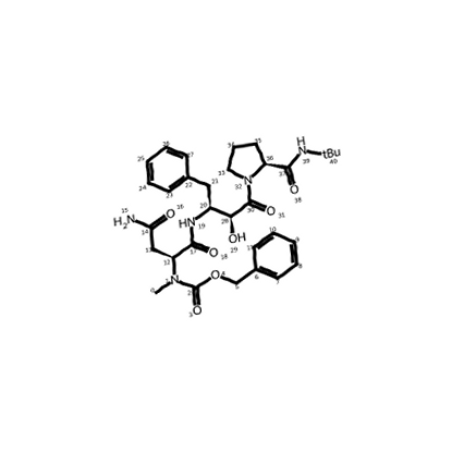 CN(C(=O)OCc1ccccc1)[C@@H](CC(N)=O)C(=O)N[C@@H](Cc1ccccc1)[C@H](O)C(=O)N1CCC[C@H]1C(=O)NC(C)(C)C